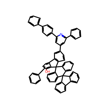 Oc1c(-c2ccccc2)ccc2c1C1(c3ccc(-c4cc(-c5ccccc5)nc(-c5ccc(-c6ccccc6)cc5)c4)cc3-2)c2ccccc2C2(c3ccccc3-c3ccccc32)c2ccccc21